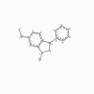 COc1ccc2c(c1)[S+]([O-])CN2c1ccccc1